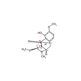 COc1ccc2c(c1O)[C@@]13CCN(C)[C@@H](C2)[C@H]1C[C@@H](OC)C(=O)C3